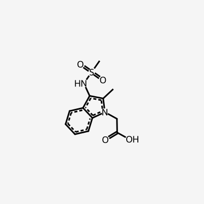 Cc1c(NS(C)(=O)=O)c2ccccc2n1CC(=O)O